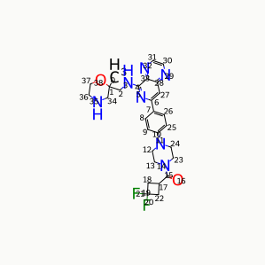 CC1(CNc2nc(-c3ccc(N4CCN(C(=O)C5CC(F)(F)C5)CC4)cc3)cc3nccnc23)CNCCO1